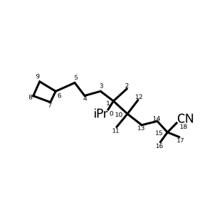 CC(C)C(C)(CCCC1CCC1)C(C)(C)CCC(C)(C)C#N